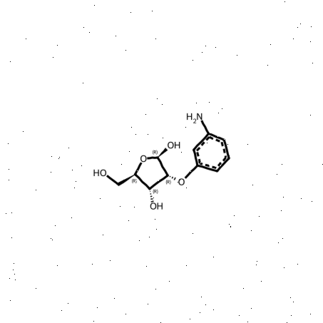 Nc1cccc(O[C@@H]2[C@H](O)[C@@H](CO)O[C@H]2O)c1